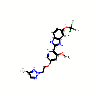 COc1cc(OCCn2ncc(C)n2)cnc1-c1nc2cc(OC(F)(F)F)ccc2[nH]1